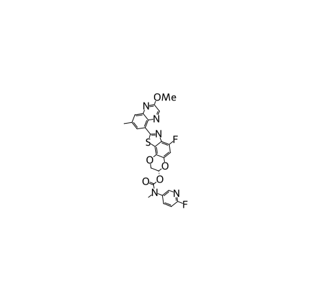 COc1cnc2c(-c3nc4c(F)cc5c(c4s3)OC[C@@H](OC(=O)N(C)c3ccc(F)nc3)O5)cc(C)cc2n1